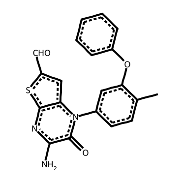 Cc1ccc(-n2c(=O)c(N)nc3sc(C=O)cc32)cc1Oc1ccccc1